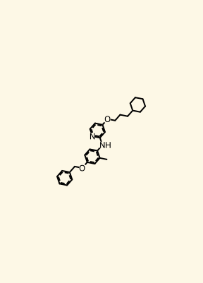 Cc1cc(OCc2ccccc2)ccc1Nc1cc(OCCCC2CCCCC2)ccn1